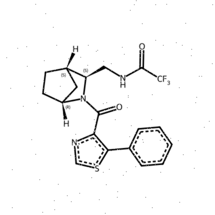 O=C(c1ncsc1-c1ccccc1)N1[C@@H]2CC[C@@H](C2)[C@H]1CNC(=O)C(F)(F)F